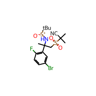 CC(CS(=O)(=O)C(C)(C)C#N)(N[S+]([O-])C(C)(C)C)c1cc(Br)ccc1F